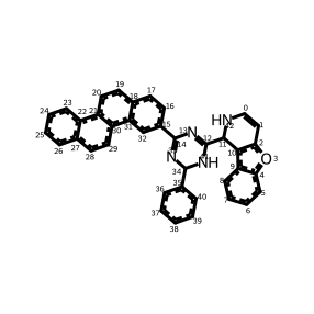 C1=Cc2oc3ccccc3c2C(C2=NC(c3ccc4ccc5c6ccccc6ccc5c4c3)=NC(c3ccccc3)N2)N1